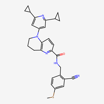 CSc1ccc(CNC(=O)c2ccc3c(n2)CCCN3c2cc(C3CC3)nc(C3CC3)c2)c(C#N)c1